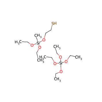 CCO[Si](C)(OCC)OCCS.CCO[Si](OCC)(OCC)OCC